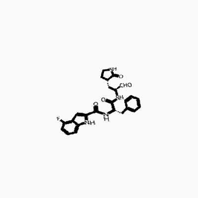 O=C[C@H](C[C@@H]1CCNC1=O)NC(=O)[C@H](Cc1ccccc1)NC(=O)c1cc2c(F)cccc2[nH]1